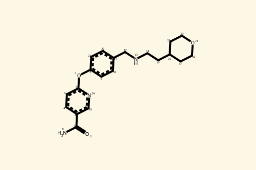 NC(=O)c1ccc(Oc2ccc(CNCCC3CCOCC3)cc2)nc1